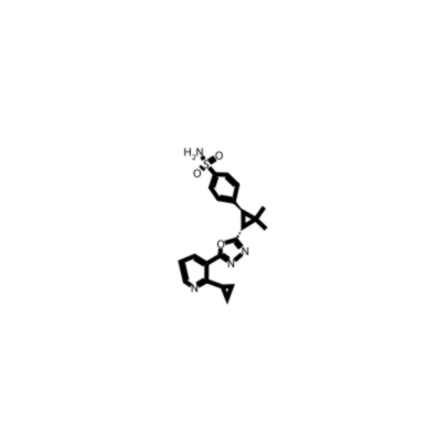 CC1(C)[C@H](c2ccc(S(N)(=O)=O)cc2)[C@H]1c1nnc(-c2cccnc2C2CC2)o1